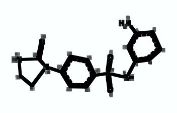 Bc1cccc(NS(=O)(=O)c2ccc(N3CCNC3=O)cc2)c1